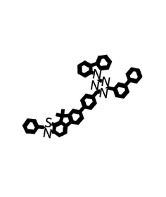 CC1(C)C2=C3SC(c4ccccc4)=NC3CC=C2c2ccc(-c3ccc(-c4nc(-c5cccc(-c6ccccc6)c5)nc(-n5c6ccccc6c6ccccc65)n4)cc3)cc21